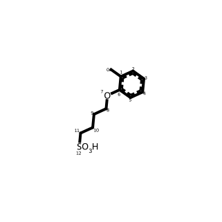 [CH2]c1ccccc1OCCCCS(=O)(=O)O